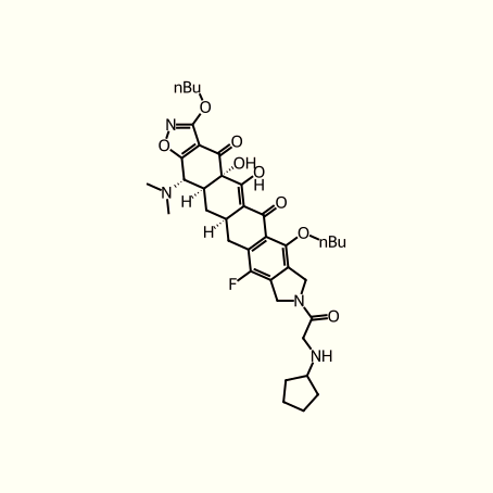 CCCCOc1noc2c1C(=O)[C@@]1(O)C(O)=C3C(=O)c4c(c(F)c5c(c4OCCCC)CN(C(=O)CNC4CCCC4)C5)C[C@H]3C[C@H]1[C@@H]2N(C)C